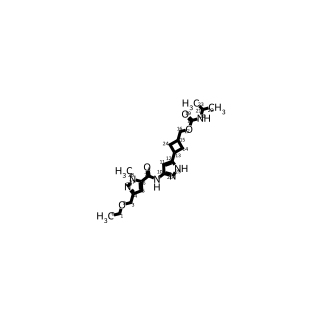 CCOCc1cc(C(=O)Nc2cc(C3CC(COC(=O)NC(C)C)C3)[nH]n2)n(C)n1